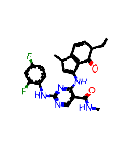 CCC1C=CC2=C(C1=O)C(Nc1nc(Nc3ccc(F)cc3F)ncc1C(=O)NC)=CC2C